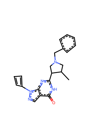 CC1CN(Cc2ccccc2)CC1c1nc2c(cnn2C2=CC=C2)c(=O)[nH]1